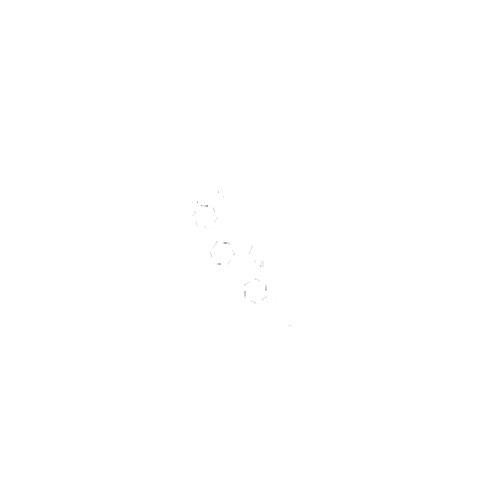 CN(CCO)c1cc(-c2ccc3c(c2)C(=O)Nc2cc(OCC(F)(F)F)ccc2O3)ccn1